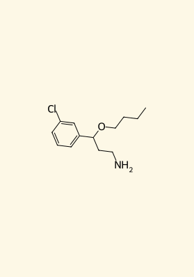 CCCCOC(CCN)c1cccc(Cl)c1